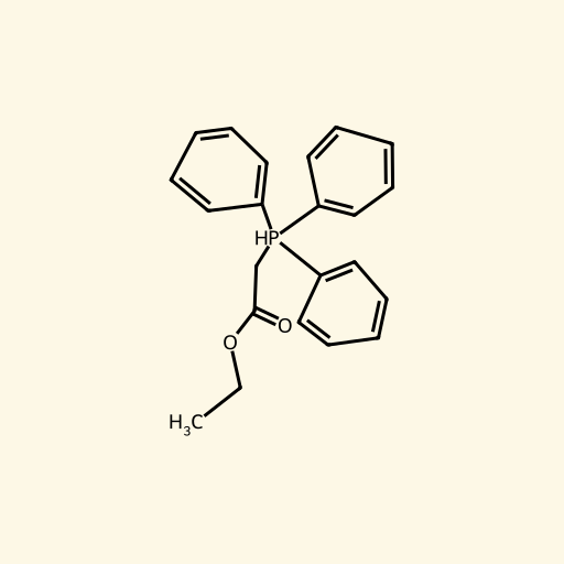 CCOC(=O)C[PH](c1ccccc1)(c1ccccc1)c1ccccc1